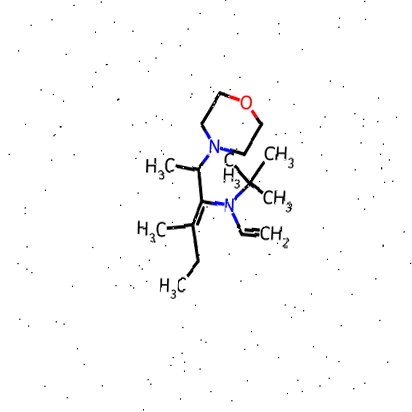 C=CN(/C(=C(/C)CC)C(C)N1CCOCC1)C(C)(C)C